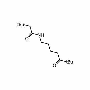 CC(C)(C)CC(=O)NCCCCC(=O)C(C)(C)C